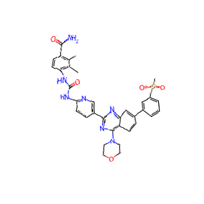 Cc1c(NC(=O)Nc2ccc(-c3nc(N4CCOCC4)c4ccc(-c5cccc(S(C)(=O)=O)c5)cc4n3)cn2)ccc(C(N)=O)c1C